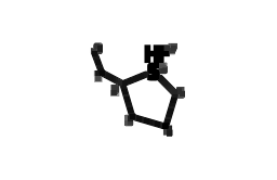 CCC1CCCS1.F